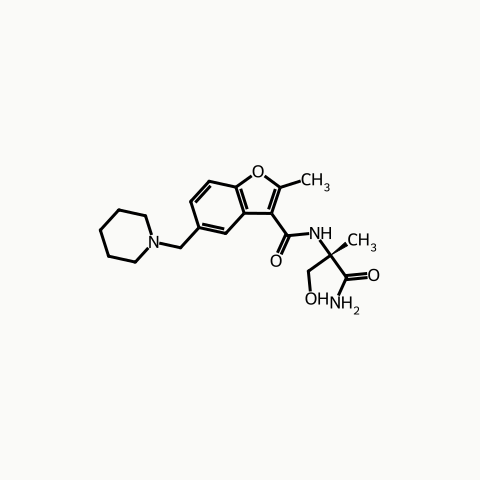 Cc1oc2ccc(CN3CCCCC3)cc2c1C(=O)N[C@@](C)(CO)C(N)=O